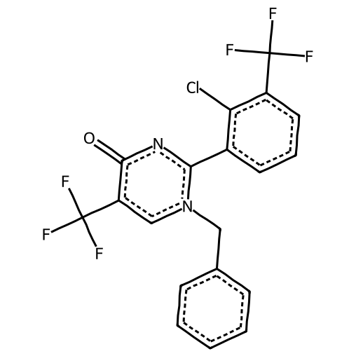 O=c1nc(-c2cccc(C(F)(F)F)c2Cl)n(Cc2ccccc2)cc1C(F)(F)F